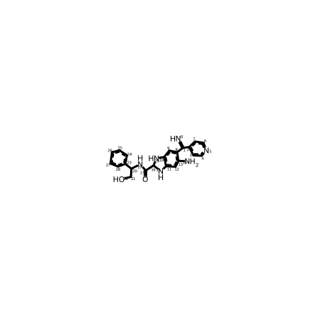 N=C(c1ccncc1)c1cc2c(cc1N)NC(C(=O)NC(CO)c1ccccc1)N2